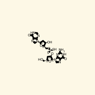 Nc1nc2c(ncn2[C@@H]2O[C@H](CO)C[C@H]2OP(=S)(S)OC[C@H]2O[C@@H](n3cnc4c(=O)[nH]cnc43)C[C@@H]2O)c(=O)[nH]1